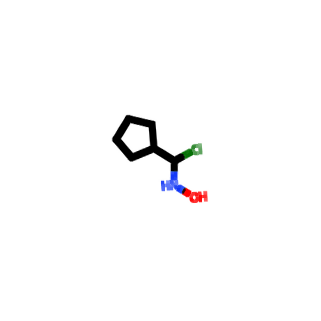 ONC(Cl)C1CCCC1